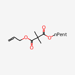 C=CCOC(=O)C(C)(C)C(=O)OCCCCC